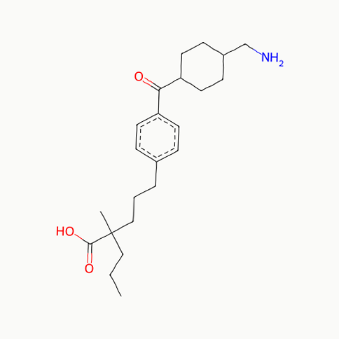 CCCC(C)(CCCc1ccc(C(=O)C2CCC(CN)CC2)cc1)C(=O)O